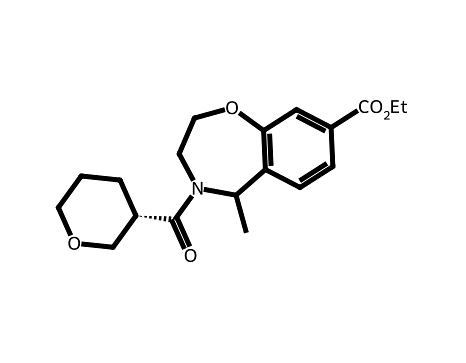 CCOC(=O)c1ccc2c(c1)OCCN(C(=O)[C@H]1CCCOC1)C2C